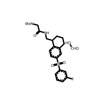 CNCC(=O)NCC1CCCc2cc(S(=O)(=O)c3cccc(F)c3)ccc21.O=CO